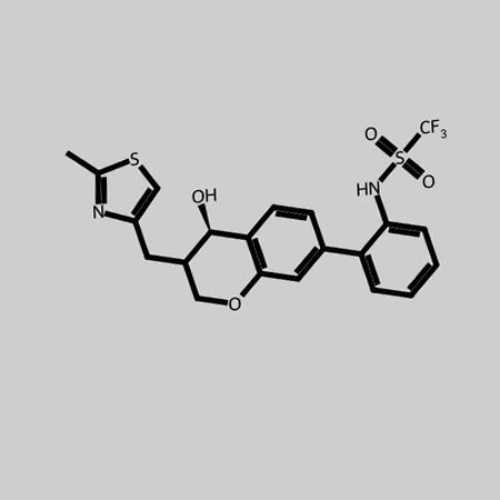 Cc1nc(CC2COc3cc(-c4ccccc4NS(=O)(=O)C(F)(F)F)ccc3[C@@H]2O)cs1